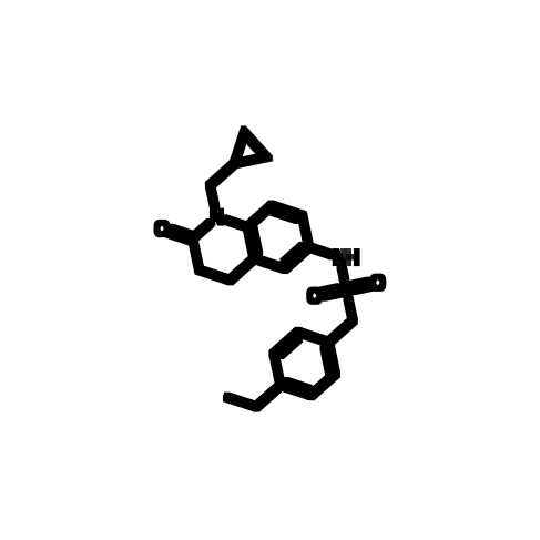 CCc1ccc(CS(=O)(=O)Nc2ccc3c(c2)CCC(=O)N3CC2CC2)cc1